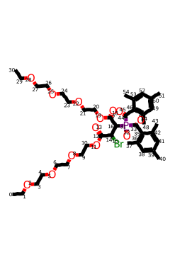 CCOCCOCCOCCOC(=O)C(Br)C(C(=O)OCCOCCOCCOCC)P(=O)(C(=O)c1c(C)cc(C)cc1C)C(=O)c1c(C)cc(C)cc1C